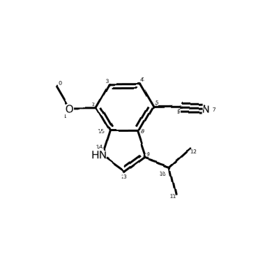 COc1ccc(C#N)c2c(C(C)C)c[nH]c12